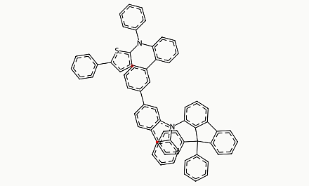 c1ccc(-c2ccc(N(c3ccccc3)c3ccccc3-c3cccc(-c4ccc5c6ccccc6n(-c6cccc7c6C(c6ccccc6)(c6ccccc6)c6ccccc6-7)c5c4)c3)s2)cc1